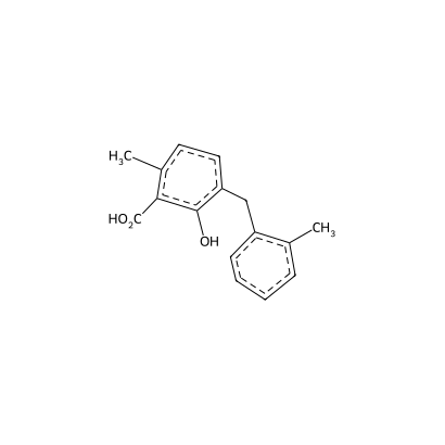 Cc1ccccc1Cc1ccc(C)c(C(=O)O)c1O